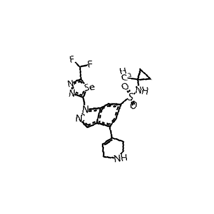 CC1(NS(=O)(=O)c2cc(C3=CCNCC3)c3cnn(-c4nnc(C(F)F)[se]4)c3c2)CC1